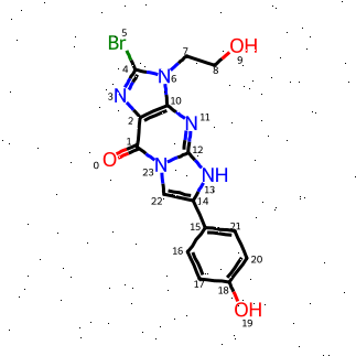 O=c1c2nc(Br)n(CCO)c2nc2[nH]c(-c3ccc(O)cc3)cn12